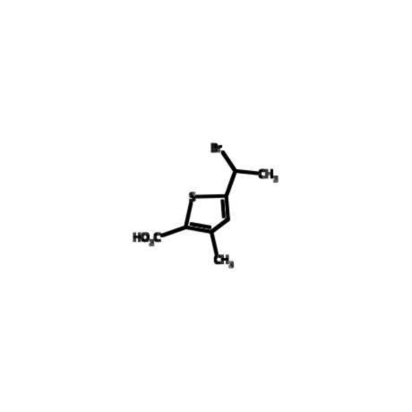 Cc1cc(C(C)Br)sc1C(=O)O